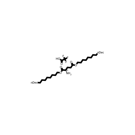 CCCCCCCCCCCCCCCCCCOC(=O)CC[C@H](N)C(=O)OCCCCCCCCCCCCCCCCCC.O=C(O)C(F)(F)F